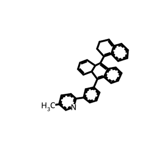 Cc1ccc(-c2cccc(C3=c4ccccc4=C(C4=c5ccccc5=CCC4)C4C=CC=CC34)c2)nc1